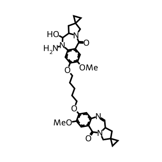 COc1cc2c(cc1OCCCCCOc1cc3c(cc1OC)C(=O)N1CC4(CC4)CC1C(O)N3N)N=CC1CC3(CC3)CN1C2=O